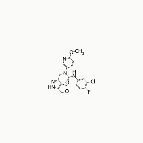 COc1ccc(N(Cc2n[nH]c3c2COC3)C(=O)Nc2ccc(F)c(Cl)c2)cn1